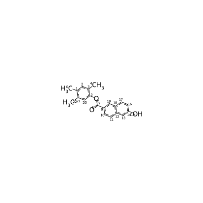 Cc1cc(C)c(OC(=O)c2ccc3cc(O)ccc3c2)cc1C